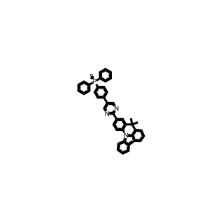 CC1(C)c2cc(-c3ncc(-c4ccc(P(=S)(c5ccccc5)c5ccccc5)cc4)cn3)ccc2-n2c3ccccc3c3cccc1c32